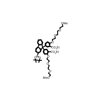 CCOC(=O)c1cc(C2(c3ccc(OCCOCCOCCOC)c(C(=O)OCC)c3)c3ccccc3-c3ccc(B4OC(C)(C)C(C)(C)O4)cc32)ccc1OCCOCCOCCOC